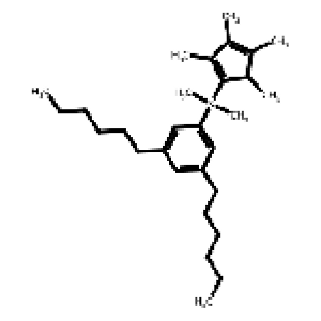 CCCCCCc1cc(CCCCCC)cc([Si](C)(C)C2=C(C)C(C)=C(C)C2C)c1